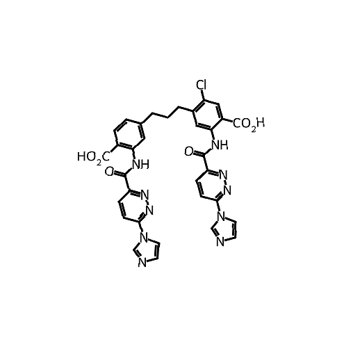 O=C(Nc1cc(CCCc2cc(NC(=O)c3ccc(-n4ccnc4)nn3)c(C(=O)O)cc2Cl)ccc1C(=O)O)c1ccc(-n2ccnc2)nn1